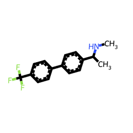 CNC(C)c1ccc(-c2ccc(C(F)(F)F)cc2)cc1